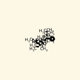 CCC[C@@H](C=C(C)C(=O)OCC)N(CC)C(=O)[C@@H](NC(=O)C(N(C)C(=O)OC(C)(C)C)C(C)(C)c1ccccc1)C(C)(C)C